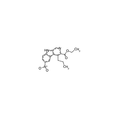 CCCc1c(C(=O)OCC)ncc2[nH]c3ccc([N+](=O)[O-])cc3c12